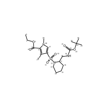 CCOC(=O)c1c(F)c(S(=O)(=O)N2CCCCC2CNC(=O)OC(C)(C)C)cn1C